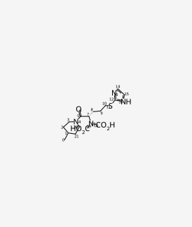 CC1CCN(C(=O)[C@H](CCCSc2ncc[nH]2)N(C(=O)O)C(=O)O)CC1